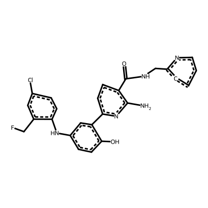 Nc1nc(-c2cc(Nc3ccc(Cl)cc3CF)ccc2O)ccc1C(=O)NCc1ccccn1